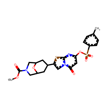 Cc1ccc(S(=O)(=O)Oc2cc(=O)n3cc(C4CC5CN(C(=O)OC(C)(C)C)CC(C4)O5)sc3n2)cc1